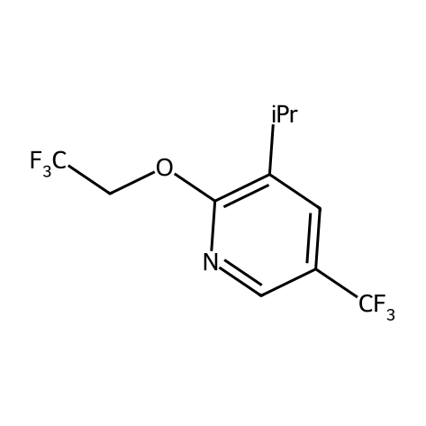 CC(C)c1cc(C(F)(F)F)cnc1OCC(F)(F)F